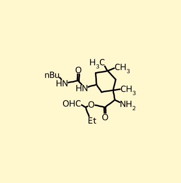 CCCCNC(=O)NC1CC(C)(C)CC(C)(C(N)C(=O)OC(C=O)CC)C1